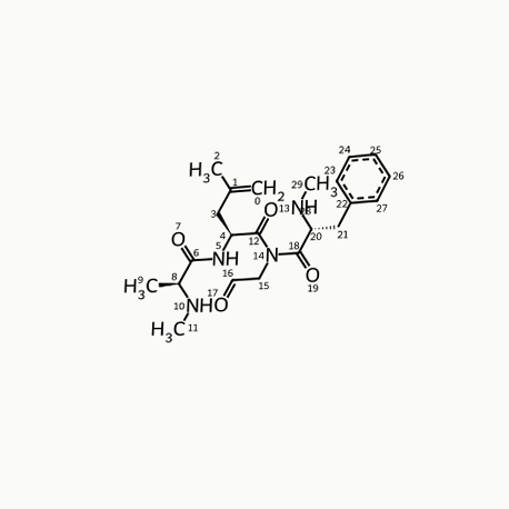 C=C(C)C[C@H](NC(=O)[C@H](C)NC)C(=O)N(CC=O)C(=O)[C@@H](Cc1ccccc1)NC